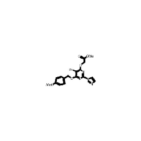 COC(=O)COc1nc(-n2ccnc2)nc(OCc2ccc(OC)cc2)c1C(C)C